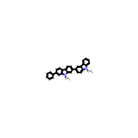 Cn1c2ccccc2c2cc(-c3ccc4c5ccc(-c6ccccc6)cc5n(C)c4c3)ccc21